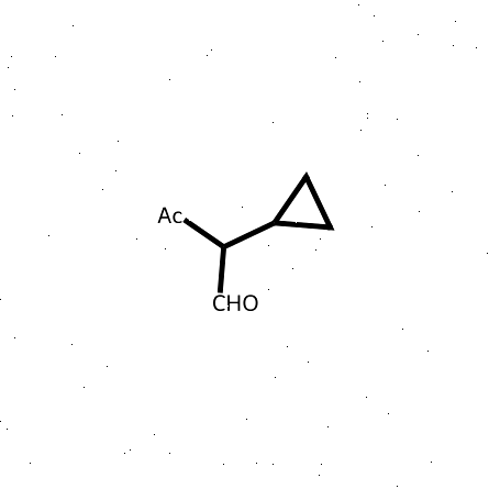 CC(=O)C(C=O)C1CC1